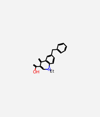 C=C(O)C1=CN(CC)c2ccc(Cc3ccccc3)cc2C1=C